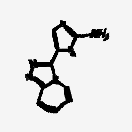 Nc1ncc(-c2nnc3ccccn23)s1